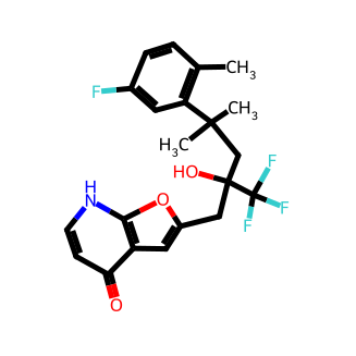 Cc1ccc(F)cc1C(C)(C)CC(O)(Cc1cc2c(=O)cc[nH]c2o1)C(F)(F)F